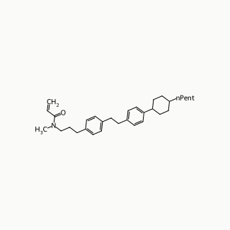 C=CC(=O)N(C)CCCc1ccc(CCc2ccc(C3CCC(CCCCC)CC3)cc2)cc1